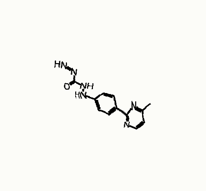 Cc1ccnc(-c2ccc(NNC(=O)N=N)cc2)n1